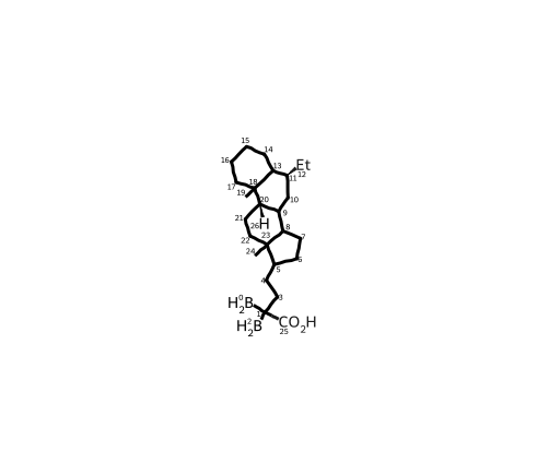 BC(B)(CCC1CCC2C3C[C@H](CC)C4CCCCC4(C)[C@H]3CCC12C)C(=O)O